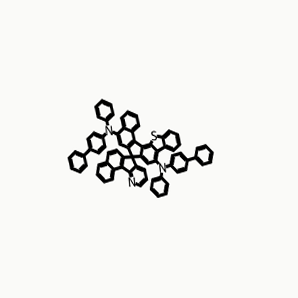 c1ccc(-c2ccc(N(c3ccccc3)c3cc4c(c5ccccc35)-c3c(cc(N(c5ccccc5)c5ccc(-c6ccccc6)cc5)c5c3sc3ccccc35)C43c4cccnc4-c4c3ccc3ccccc43)cc2)cc1